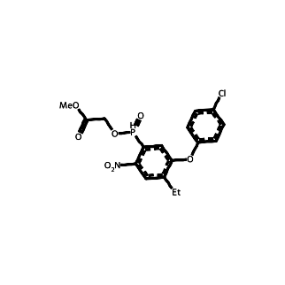 CCc1cc([N+](=O)[O-])c([PH](=O)OCC(=O)OC)cc1Oc1ccc(Cl)cc1